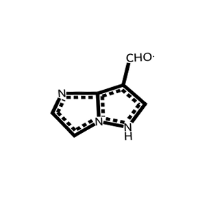 O=[C]c1c[nH]n2ccnc12